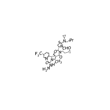 CC1=C(C(=O)N(C(=O)c2csc(N(CC(C)C)C3CC3)n2)[C@H]([C]=O)CC2CC2)SC(c2ccc(C(F)(F)F)cn2)N1C(=O)NN